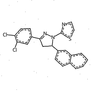 Clc1ccc(C2=NN(c3nccs3)C(c3ccc4ccccc4c3)C2)cc1Cl